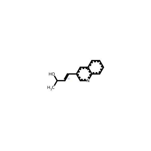 CC(O)/C=C/c1cnc2ccccc2c1